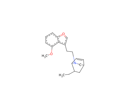 CCC1CC2C=CC1N(CCc1coc3cccc(OC)c13)C2